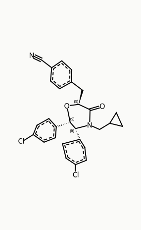 N#Cc1ccc(C[C@@H]2O[C@@H](c3ccc(Cl)cc3)[C@@H](c3ccc(Cl)cc3)N(CC3CC3)C2=O)cc1